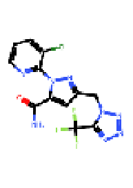 NC(=O)c1cc(Cn2nnnc2C(F)(F)F)nn1-c1ncccc1Cl